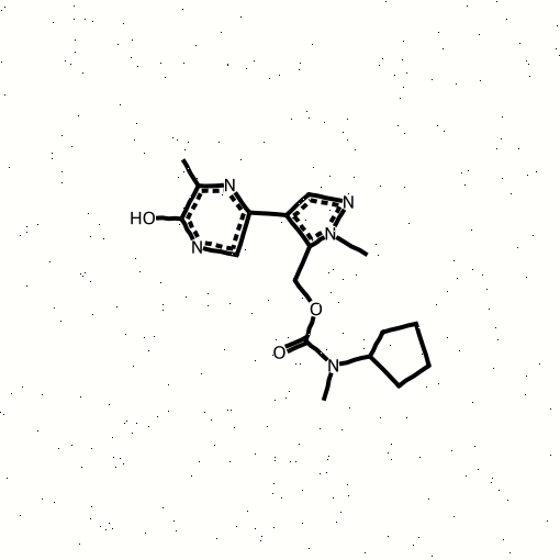 Cc1nc(-c2cnn(C)c2COC(=O)N(C)C2CCCC2)cnc1O